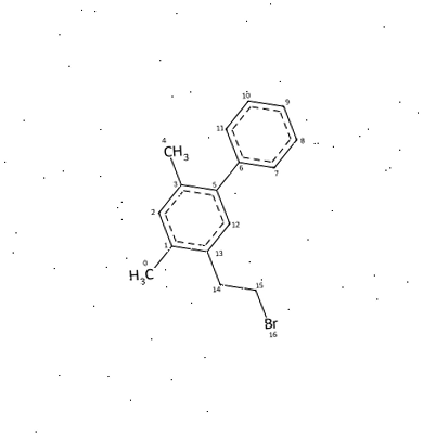 Cc1cc(C)c(-c2ccccc2)cc1CCBr